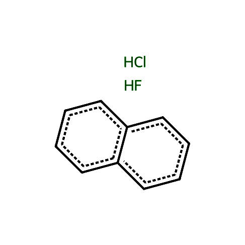 Cl.F.c1ccc2ccccc2c1